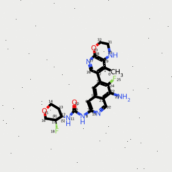 Cc1c(-c2cc3cc(NC(=O)N[C@H]4CCOC[C@@H]4F)ncc3c(N)c2F)cnc2c1NCCO2